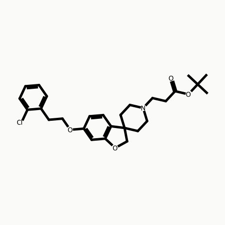 CC(C)(C)OC(=O)CCN1CCC2(CC1)COc1cc(OCCc3ccccc3Cl)ccc12